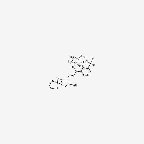 CC(C)(C)[Si](C)(C)OC(CCC1C(O)CC2C1CC21OCCO1)c1cccc(C(F)(F)F)c1